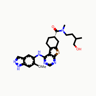 COc1cc2[nH]ncc2cc1Nc1ncnc2sc3c(c12)CC[C@H](C(=O)N(C)CCC(C)CO)C3